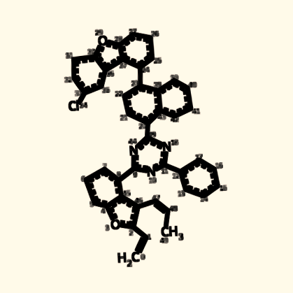 C=Cc1oc2cccc(-c3nc(-c4ccccc4)nc(-c4ccc(-c5cccc6oc7ccc(Cl)cc7c56)c5ccccc45)n3)c2c1/C=C\C